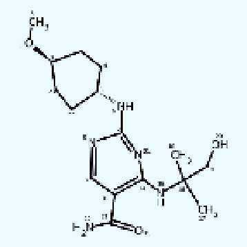 CO[C@H]1CC[C@H](Nc2ncc(C(N)=O)c(NC(C)(C)CO)n2)CC1